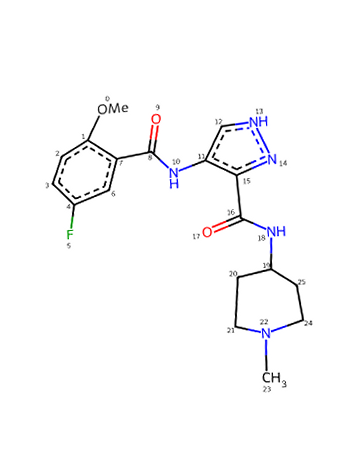 COc1ccc(F)cc1C(=O)Nc1c[nH]nc1C(=O)NC1CCN(C)CC1